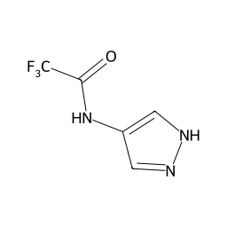 O=C(Nc1cn[nH]c1)C(F)(F)F